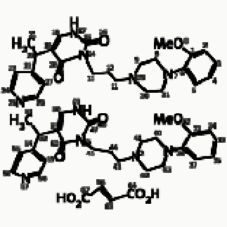 COc1ccccc1N1CCN(CCCn2c(=O)[nH]cc(C(C)c3ccncc3)c2=O)CC1.COc1ccccc1N1CCN(CCCn2c(=O)[nH]cc(C(C)c3ccncc3)c2=O)CC1.O=C(O)/C=C/C(=O)O